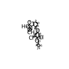 CON=C(C(=O)O)c1ccccc1COc1cc(Cl)c(OCC2CCC2)c(Cl)c1